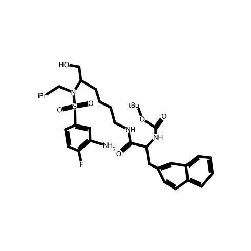 CC(C)CN(C(CO)CCCCNC(=O)C(Cc1ccc2ccccc2c1)NC(=O)OC(C)(C)C)S(=O)(=O)c1ccc(F)c(N)c1